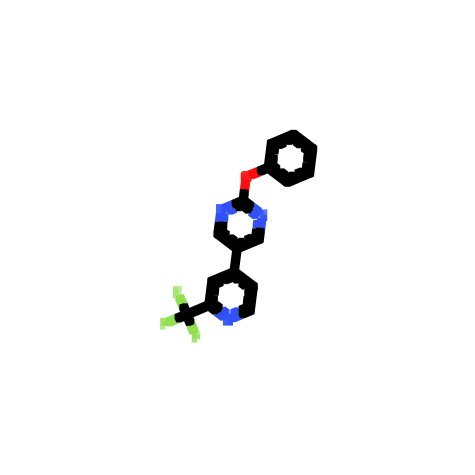 FC(F)(F)c1cc(-c2cnc(Oc3ccccc3)nc2)ccn1